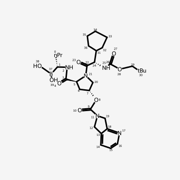 CCC[C@H](NC(=O)[C@@H]1C[C@@H](OC(=O)N2Cc3cccnc3C2)CN1C(=O)[C@@H](NC(=O)OCC(C)(C)C)C1CCCCC1)B(O)O